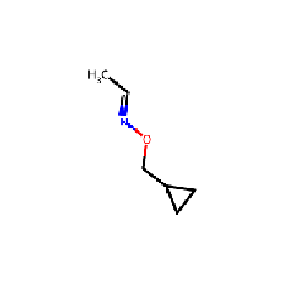 CC=NOCC1CC1